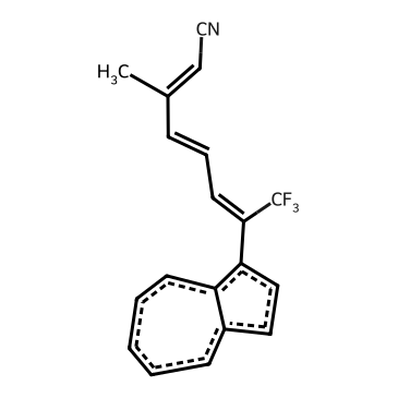 CC(C=CC=C(c1ccc2cccccc1-2)C(F)(F)F)=CC#N